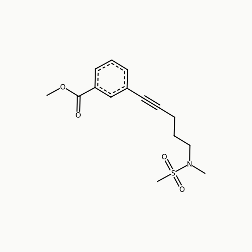 COC(=O)c1cccc(C#CCCCN(C)S(C)(=O)=O)c1